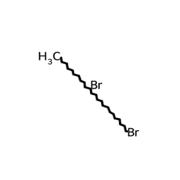 CCCCCCCCCCCC(Br)CCCCCCCCCCCCCBr